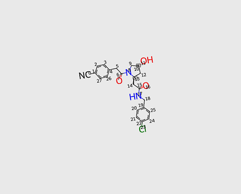 N#Cc1ccc(CC(=O)N2C[C@H](O)C[C@H]2CC(=O)NCc2ccc(Cl)cc2)cc1